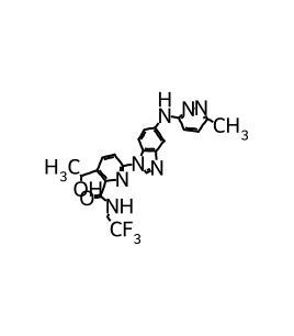 Cc1ccc(Nc2ccc3c(c2)ncn3-c2ccc(C(C)O)c(C(=O)NCC(F)(F)F)n2)nn1